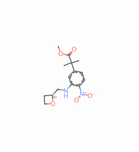 COC(=O)C(C)(C)c1ccc([N+](=O)[O-])c(NC[C@@H]2CCO2)c1